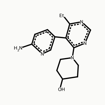 CCc1ncnc(N2CCC(O)CC2)c1-c1ccc(N)nc1